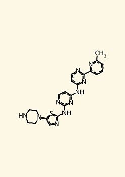 Cc1cccc(-c2nccc(Nc3ccnc(Nc4ncc(N5CCNCC5)s4)n3)n2)n1